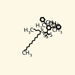 CCCCCCCCCCCCCC(CCCC)Sc1ssc(=S)c1-c1cc(C(C)(C)c2ccccc2)c(O)c(C(C)(C)c2ccccc2)c1